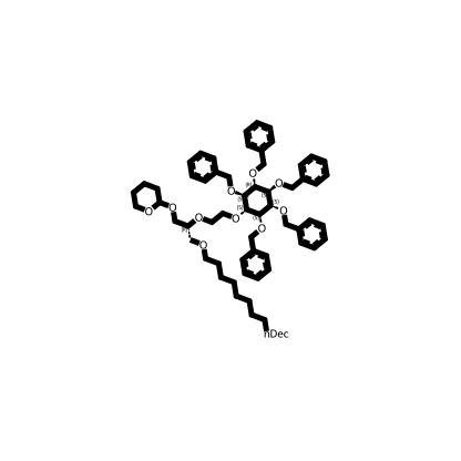 CCCCCCCCCCCCCCCCCCOC[C@H](COC1CCCCO1)OCCO[C@@H]1[C@@H](OCc2ccccc2)[C@H](OCc2ccccc2)[C@@H](OCc2ccccc2)[C@H](OCc2ccccc2)[C@@H]1OCc1ccccc1